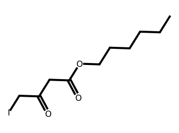 CCCCCCOC(=O)CC(=O)CI